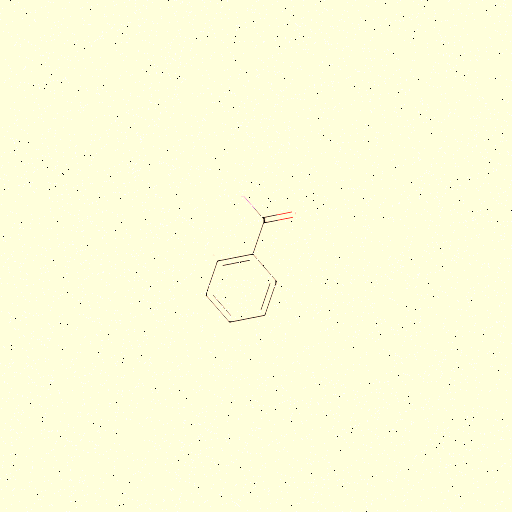 O=C(I)c1[c]cccc1